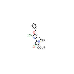 CC(C)(C)[C@@H]1Cc2cc(OCc3ccccc3)c(Cl)nc2-c2cc(=O)c(C(=O)O)cn21